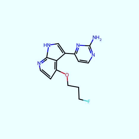 Nc1nccc(-c2c[nH]c3nccc(OCCCF)c23)n1